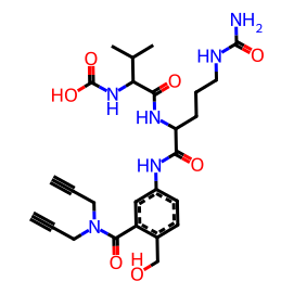 C#CCN(CC#C)C(=O)c1cc(NC(=O)C(CCCNC(N)=O)NC(=O)C(NC(=O)O)C(C)C)ccc1CO